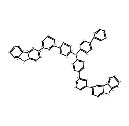 c1ccc(-c2ccc(N(c3ccc(-c4cccc(-c5ccc6oc7ccccc7c6c5)c4)cc3)c3ccc(-c4cccc(-c5ccc6sc7ccccc7c6c5)c4)cc3)cc2)cc1